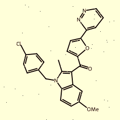 COc1ccc2c(c1)c(C(=O)c1ccc(-c3cccnn3)o1)c(C)n2Cc1ccc(Cl)cc1